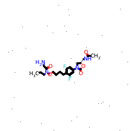 CCCN(OCCCCc1c(F)cc(N2C[C@H](CNC(C)=O)OC2=O)cc1F)C(=O)CN